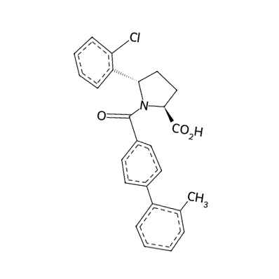 Cc1ccccc1-c1ccc(C(=O)N2[C@H](C(=O)O)CC[C@H]2c2ccccc2Cl)cc1